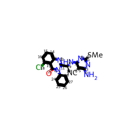 CSc1nc(N)c(C#N)c(N[C@@H](C)c2nc3cccc(Cl)c3c(=O)n2-c2ccccc2)n1